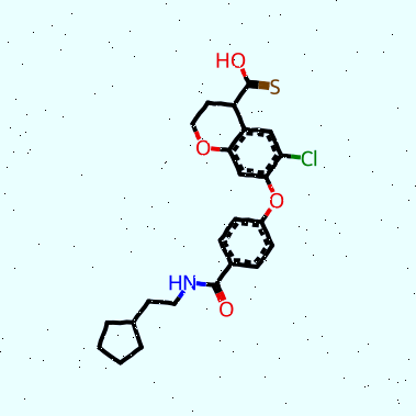 O=C(NCCC1CCCC1)c1ccc(Oc2cc3c(cc2Cl)C(C(O)=S)CCO3)cc1